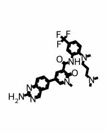 CN(C)CCCN(C)c1ccc(C(F)(F)F)cc1NC(=O)c1cc(-c2ccc3nc(N)ncc3c2)cn(C)c1=O